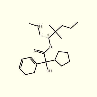 CCCC(C)(C)[C@@H](CNC)OC(=O)C(O)(C1=CC=CCC1)C1CCCC1